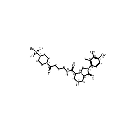 CCS(=O)(=O)N1CCN(C(=O)CCCNC(=O)C2CNCC3C(=O)N(c4ccc(C#N)c(Cl)c4C)CN23)CC1